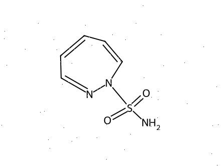 NS(=O)(=O)N1C=CC=CC=N1